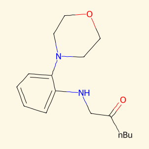 CCCCC(=O)CNc1ccccc1N1CCOCC1